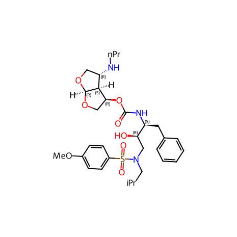 CCCN[C@H]1CO[C@@H]2OC[C@H](OC(=O)N[C@@H](Cc3ccccc3)[C@H](O)CN(CC(C)C)S(=O)(=O)c3ccc(OC)cc3)[C@@H]21